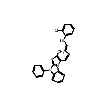 Cc1nc2n(-c3ccccc3)c3ccccc3n2c1/C=C\C=C\Nc1ccccc1Cl